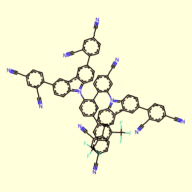 N#Cc1ccc(-c2ccc3c(c2)c2cc(-c4ccc(C#N)cc4C#N)ccc2n3-c2ccc(-c3cc(C(F)(F)F)cc(C(F)(F)F)c3)cc2-c2ccc(C#N)cc2-n2c3ccc(-c4ccc(C#N)cc4C#N)cc3c3cc(-c4ccc(C#N)cc4C#N)ccc32)c(C#N)c1